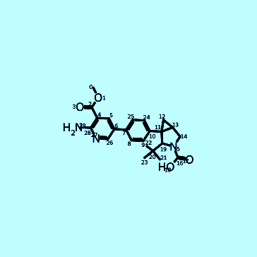 COC(=O)c1cc(-c2ccc(C34CC3CN(C(=O)O)C4C(C)(C)C)cc2)cnc1N